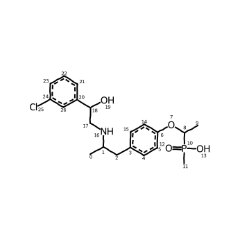 CC(Cc1ccc(OC(C)P(C)(=O)O)cc1)NCC(O)c1cccc(Cl)c1